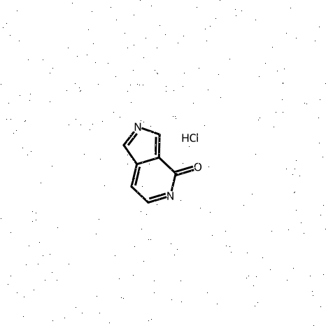 Cl.O=C1N=CC=C2C=NC=C12